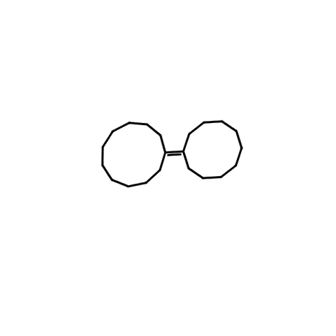 C1CCCCCC(=C2CCCCCCCCC2)CCCC1